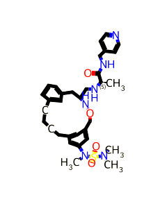 C[C@H](NCC1Cc2cccc(c2)CCCCc2cc(cc(N(C)S(=O)(=O)N(C)C)c2)CON1)C(=O)NCc1ccncc1